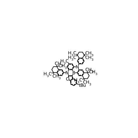 Cc1cc2c3c(c1)N(c1ccc4c(c1)C(C)(C)CCC4(C)C)c1oc4ccc(C(C)(C)C)cc4c1B3c1cc3c(cc1N2c1ccc2c(c1)C(C)(C)CCC2(C)C)C(C)(C)CCC3(C)C